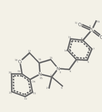 CC1(C)N(Cc2ccc(S(C)(=O)=O)cc2)CC2COc3ccccc3N21